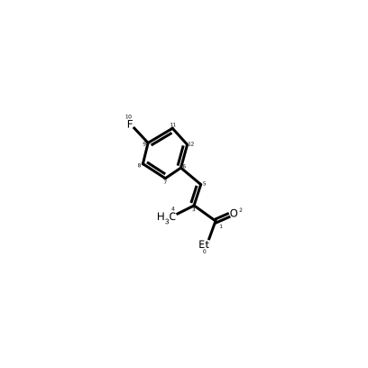 CCC(=O)/C(C)=C/c1ccc(F)cc1